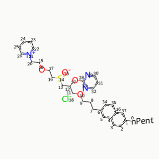 CCCCCc1ccc2cc(CCCOCC(C[S+]([O-])CCOCC[n+]3ccccc3)Oc3ncccn3)ccc2c1.[Cl-]